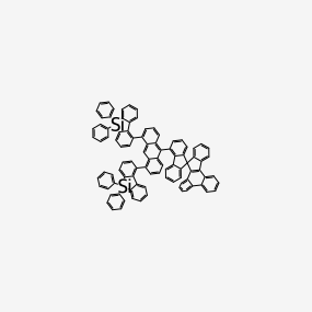 c1ccc([Si]2(c3ccccc3)c3ccccc3-c3c(-c4cccc5c(-c6cccc7c6-c6ccccc6C76c7ccccc7-c7c6c6ccccc6c6ccccc76)c6cccc(-c7cccc8c7-c7ccccc7[Si]8(c7ccccc7)c7ccccc7)c6cc45)cccc32)cc1